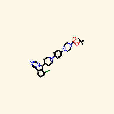 CC(C)(C)OC(=O)N1CCN(c2ccc(N3CCC(C4c5c(F)cccc5-c5cncn54)CC3)cc2)CC1